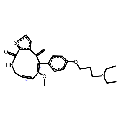 C=C1/C(c2ccc(OCCCN(CC)CC)cc2)=C(OC)\C=C/CNC(=O)c2sccc21